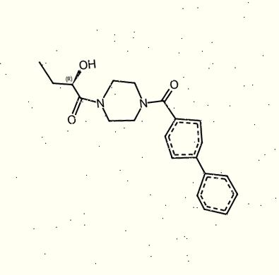 CC[C@@H](O)C(=O)N1CCN(C(=O)c2ccc(-c3ccccc3)cc2)CC1